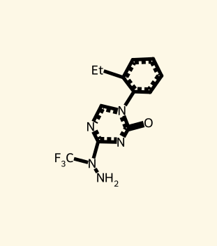 CCc1ccccc1-n1cnc(N(N)C(F)(F)F)nc1=O